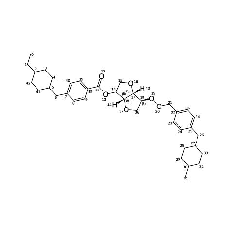 CCC1CCC(Cc2ccc(C(=O)OC3CO[C@@H]4[C@@H](OOCc5ccc(CC6CCC(C)CC6)cc5)CO[C@H]34)cc2)CC1